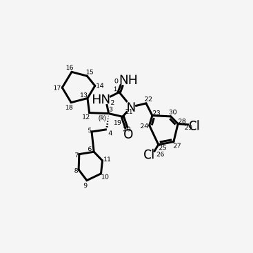 N=C1N[C@](CCC2CCCCC2)(CC2CCCCC2)C(=O)N1Cc1cc(Cl)cc(Cl)c1